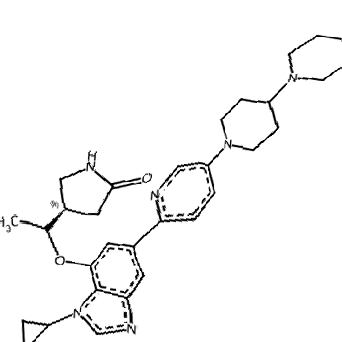 CC(Oc1cc(-c2ccc(N3CCC(N4CCOCC4)CC3)cn2)cc2ncn(C3CC3)c12)[C@H]1CNC(=O)C1